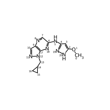 COc1cc(Nc2cnc3cnn(CC4CC4)c3n2)n[nH]1